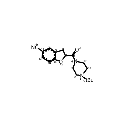 CC(C)(C)N1CCN(C(=O)C2Cc3cc(C#N)ccc3O2)CC1